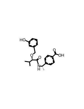 CC(C)[C@@H](OCc1cccc(O)c1)C(=O)N[C@@H](C)c1ccc(C(=O)O)cc1